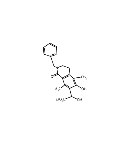 CCOC(=O)C(O)c1c(C)c2c(c(C)c1O)CCN(Cc1ccccc1)C2=O